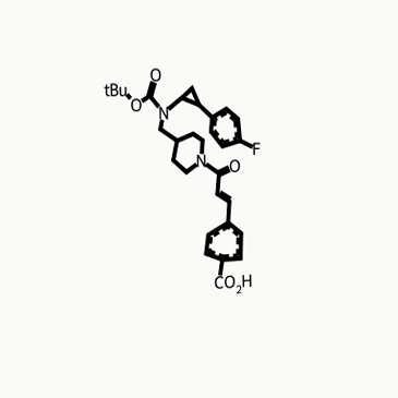 CC(C)(C)OC(=O)N(CC1CCN(C(=O)C=Cc2ccc(C(=O)O)cc2)CC1)C1CC1c1ccc(F)cc1